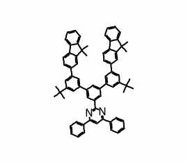 CC(C)(C)c1cc(-c2cc(-c3cc(-c4ccc5c(c4)C(C)(C)c4ccccc4-5)cc(C(C)(C)C)c3)cc(-c3nc(-c4ccccc4)cc(-c4ccccc4)n3)c2)cc(-c2ccc3c(c2)C(C)(C)c2ccccc2-3)c1